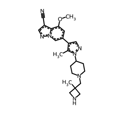 COc1cc(-c2cnn(C3CCN(CC4(C)CNC4)CC3)c2C)cn2ncc(C#N)c12